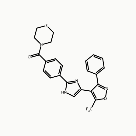 O=C(c1ccc(-c2nc(-c3c(-c4ccccc4)noc3C(F)(F)F)c[nH]2)cc1)N1CCSCC1